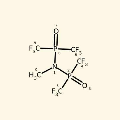 CN(P(=O)(C(F)(F)F)C(F)(F)F)P(=O)(C(F)(F)F)C(F)(F)F